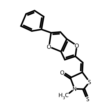 CN1C(=O)/C(=C\c2cc3oc(-c4ccccc4)cc3o2)SC1=S